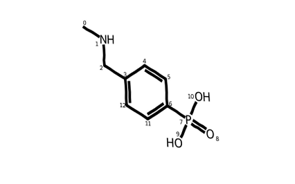 CNCc1ccc(P(=O)(O)O)cc1